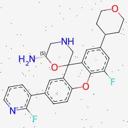 N[C@@H]1CNCC2(O1)c1cc(-c3cccnc3F)ccc1Oc1c(F)cc(C3CCOCC3)cc12